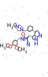 COc1ccc(CNC(=O)/C(C#N)=C/c2c[nH]c3nccc(-c4cccc(CN5CCN(C)CC5)c4)c23)cc1OC